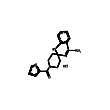 Cl.NC1=NC2(CCN(C(=O)c3cccs3)CC2)Nc2ccccc21